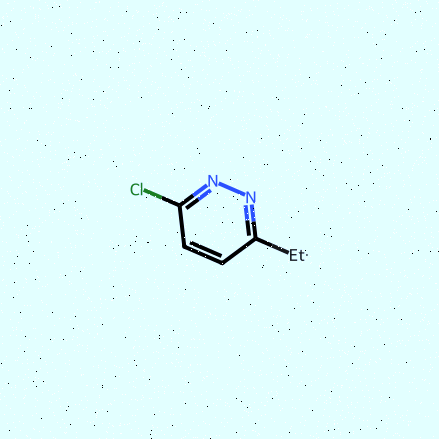 C[CH]c1ccc(Cl)nn1